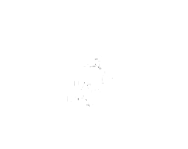 N[C@@H](CC1CC1[N+](=O)[O-])C(=O)O